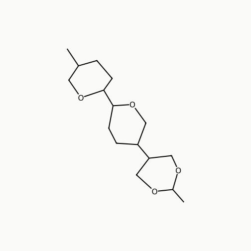 CC1CCC(C2CCC(C3COC(C)OC3)CO2)OC1